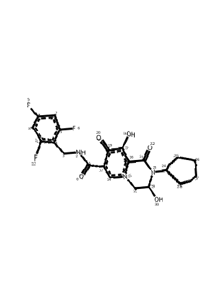 O=C(NCc1c(F)cc(F)cc1F)c1cn2c(c(O)c1=O)C(=O)N(C1CCCC1)C(O)C2